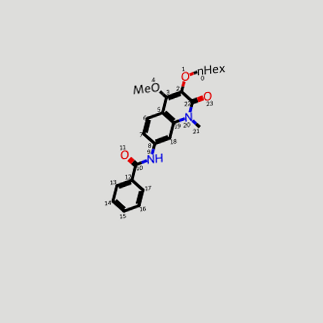 CCCCCCOc1c(OC)c2ccc(NC(=O)c3ccccc3)cc2n(C)c1=O